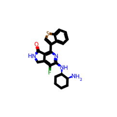 N[C@H]1CCCC[C@H]1Nc1nc(-c2csc3ccccc23)c2c(c1F)CNC2=O